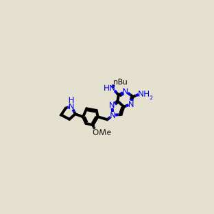 CCCCNc1nc(N)nc2cn(Cc3ccc(C4CCCN4)cc3OC)nc12